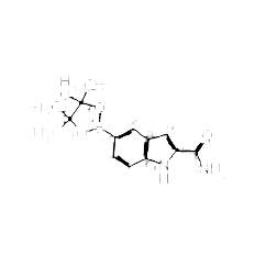 CC1(C)OB(c2ccc3[nH]c(C(N)=O)cc3c2)OC1(C)C